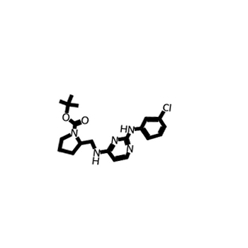 CC(C)(C)OC(=O)N1CCCC1CNc1ccnc(Nc2cccc(Cl)c2)n1